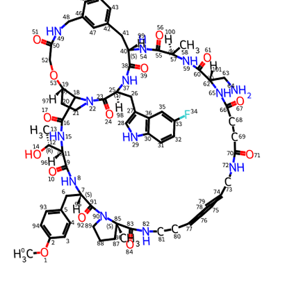 COc1ccc(C[C@@H]2NC(=O)[C@H]([C@@H](C)O)NC(=O)C3[C@@H]4CCN3C(=O)[C@H](Cc3c[nH]c5ccc(F)cc35)NC(=O)[C@H](Cc3cccc(c3)CNC(=O)CO4)NC(=O)[C@@H](C)NC(=O)[C@H](CN)NC(=O)CCC(=O)NCc3ccc(cc3)CCNC(=O)[C@]3(C)CCCN3C2=O)cc1